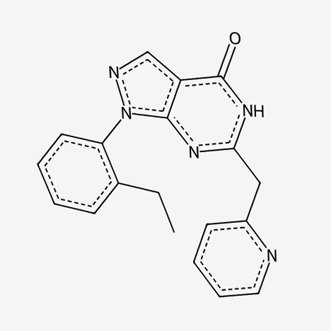 CCc1ccccc1-n1ncc2c(=O)[nH]c(Cc3ccccn3)nc21